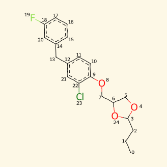 CCCC1OCC(COc2ccc(Cc3cccc(F)c3)cc2Cl)O1